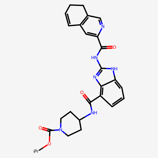 CC(C)OC(=O)N1CCC(NC(=O)c2cccc3[nH]c(NC(=O)c4cc5c(cn4)CCC=C5)nc23)CC1